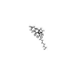 CCCCCCCOC(=O)[C@H]1[C@@H](C(=O)N2CCN(C)CC2)[C@@H]2CC[C@H]1O2